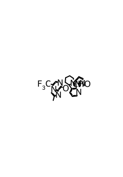 Cc1cn2c(C(F)(F)F)cnc(OC3(c4cccnc4-n4cccn4)CCCCN3C=O)c2n1